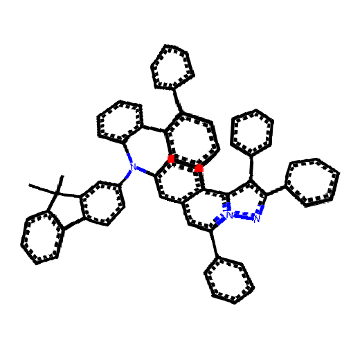 CC1(C)c2ccccc2-c2ccc(N(c3ccc4c(c3)cc(-c3ccccc3)n3nc(-c5ccccc5)c(-c5ccccc5)c43)c3ccccc3-c3ccccc3-c3ccccc3)cc21